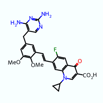 COc1cc(Cc2cnc(N)nc2N)cc(C=Cc2cc3c(cc2F)c(=O)c(C(=O)O)cn3C2CC2)c1OC